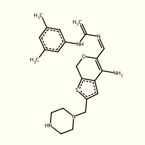 C=C(/N=C\C1=C(N)c2cc(CN3CCNCC3)sc2CO1)Nc1cc(C)cc(C)c1